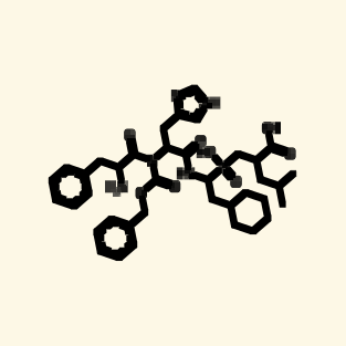 CC(C)CC(CP(=O)(O)C(CC1CCCCC1)NC(=O)C(Cc1c[nH]cn1)N(C(=O)OCc1ccccc1)C(=O)C(N)Cc1ccccc1)C(=O)O